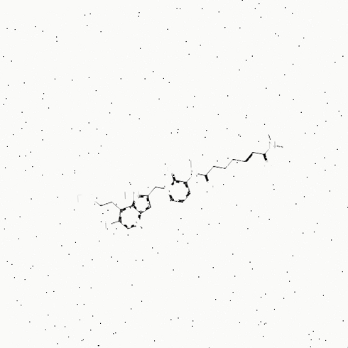 CN(C)C(=O)/C=C/CCCC(=O)Nc1cccn(Cc2cc3ncc(F)c(CCC(F)(F)F)c3[nH]2)c1=O